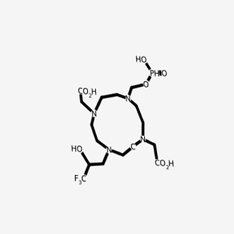 O=C(O)CN1CCN(CO[PH](=O)O)CCN(CC(=O)O)CCN(CC(O)C(F)(F)F)CC1